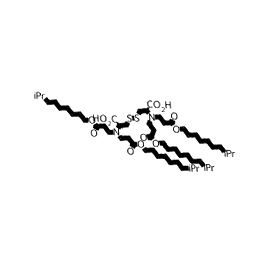 CC(C)CCCCCCCOC(=O)CCN(CCC(=O)OCCCCCCCC(C)C)[C@@H](CSSC[C@@H](C(=O)O)N(CCC(=O)OCCCCCCCC(C)C)CCC(=O)OCCCCCCCC(C)C)C(=O)O